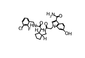 NC(=O)c1cn(CC(=O)N2C[C@@H]3CCC[C@@H]3[C@H]2C(=O)NCc2cccc(Cl)c2F)c2cc(O)ccc12